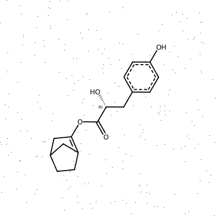 O=C(OC1=C2CCC(C2)C1)[C@H](O)Cc1ccc(O)cc1